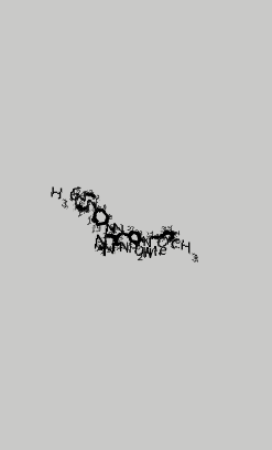 COc1cc(-c2nn(C3CCC(N4CCN(C)CC4)CC3)c3ncnc(N)c23)ccc1NCc1ccc(C)o1